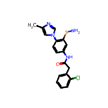 Cc1cn(-c2ccc(NC(=O)Cc3ccccc3Cl)cc2SN)cn1